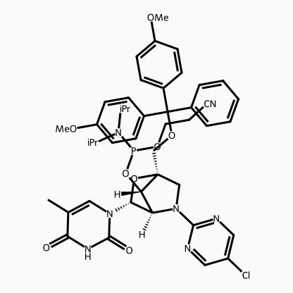 COc1ccc(C(OC[C@@]23CN(c4ncc(Cl)cn4)[C@@H]([C@H](n4cc(C)c(=O)[nH]c4=O)O2)[C@@H]3OP(OCCC#N)N(C(C)C)C(C)C)(c2ccccc2)c2ccc(OC)cc2)cc1